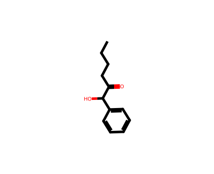 CCCCC(=O)C(O)c1ccccc1